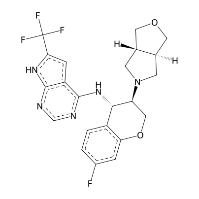 Fc1ccc2c(c1)OC[C@H](N1C[C@@H]3COC[C@H]3C1)[C@H]2Nc1ncnc2[nH]c(C(F)(F)F)cc12